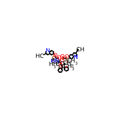 C#Cc1cnc2ccc(OC(SC)C(=O)NC(C)(COC(=O)C(Oc3ccc4ncc(C#C)cc4c3)SC)CO[Si](c3ccccc3)(c3ccccc3)C(C)(C)C)cc2c1